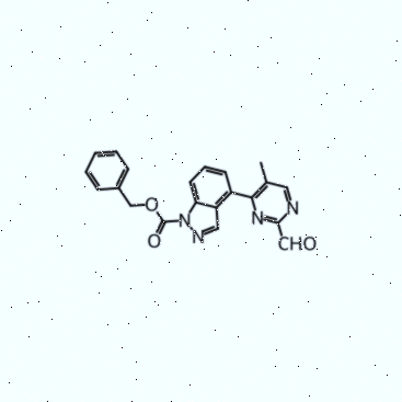 Cc1cnc(C=O)nc1-c1cccc2c1cnn2C(=O)OCc1ccccc1